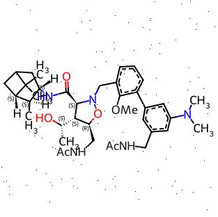 COc1c(CN2O[C@@H](CNC(C)=O)[C@H]([C@H](C)O)[C@H]2C(=O)N[C@H]2CC3C[C@@H]([C@@H]2C)C3(C)C)cccc1-c1cc(CNC(C)=O)cc(N(C)C)c1